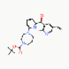 C=Cc1cnc(C)c(C(=O)c2cccc(N3CCCN(C(=O)OC(C)(C)C)CC3)n2)c1